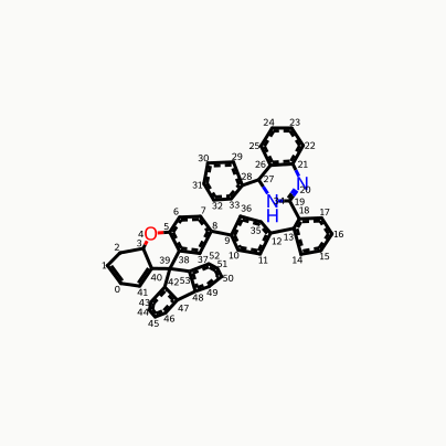 C1=CCC2Oc3ccc(-c4ccc(-c5ccccc5C5=Nc6ccccc6C(c6ccccc6)N5)cc4)cc3C3(C2=C1)c1ccccc1-c1ccccc13